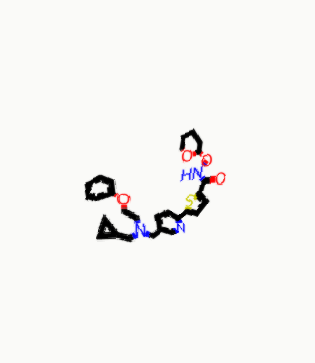 O=C(NOC1CCCCO1)c1ccc(-c2ccc(CN(CCOc3ccccc3)CC3CC3)cn2)s1